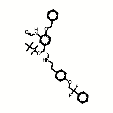 CC(C)(C)[Si](C)(C)O[C@@H](CNCCc1ccc(OCC(F)(F)c2ccccc2)cc1)c1ccc(OCc2ccccc2)c(NC=O)c1